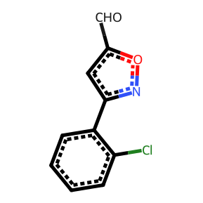 O=Cc1cc(-c2ccccc2Cl)no1